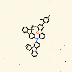 Cc1ccc(-c2cc(C(C)C)c3oc4c(N(c5ccc6c(c5)C(C)(C)c5ccccc5-6)c5ccc6c(c5)C5(CC7CCC5C7)c5ccccc5-6)cccc4c3c2)c(C)c1